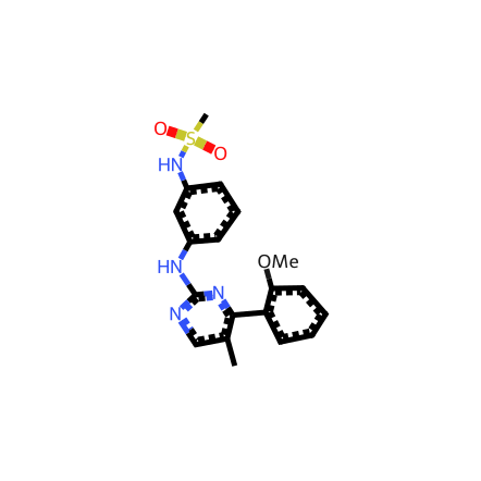 COc1ccccc1-c1nc(Nc2cccc(NS(C)(=O)=O)c2)ncc1C